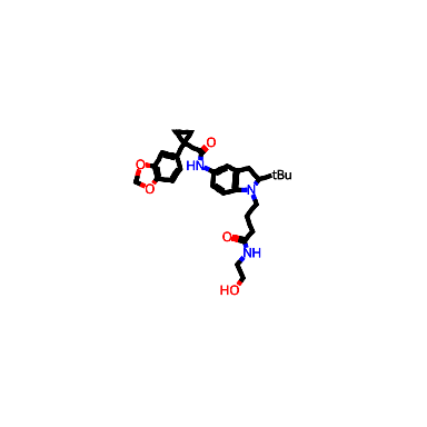 CC(C)(C)C1Cc2cc(NC(=O)C3(c4ccc5c(c4)OCO5)CC3)ccc2N1CCCC(=O)NCCO